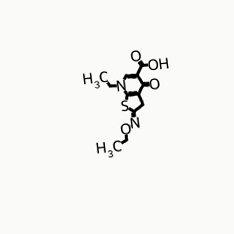 CCO/N=C1/Cc2c(n(CC)cc(C(=O)O)c2=O)S1